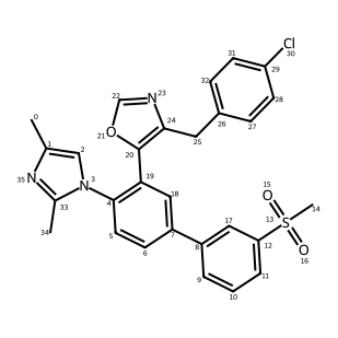 Cc1cn(-c2ccc(-c3cccc(S(C)(=O)=O)c3)cc2-c2ocnc2Cc2ccc(Cl)cc2)c(C)n1